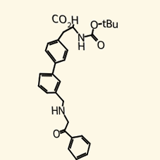 CC(C)(C)OC(=O)NC(Cc1ccc(-c2cccc(CNCC(=O)c3ccccc3)c2)cc1)C(=O)O